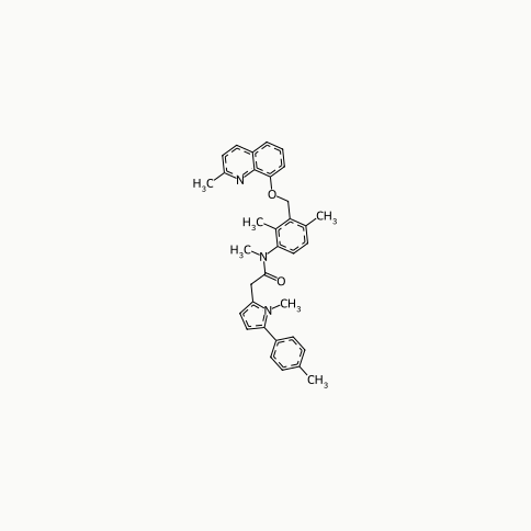 Cc1ccc(-c2ccc(CC(=O)N(C)c3ccc(C)c(COc4cccc5ccc(C)nc45)c3C)n2C)cc1